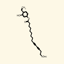 C=Cc1ccc(OC(=O)CCCCCCCCC#CC#CCCCCCCCCCCCC)cc1O